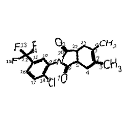 CC1=C(C)CC2C(=O)N(c3cc(C(F)(F)F)ccc3Cl)C(=O)C2C1